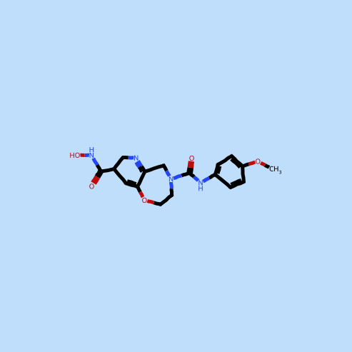 COc1ccc(NC(=O)N2CCOC3=CC(C(=O)NO)CN=C3C2)cc1